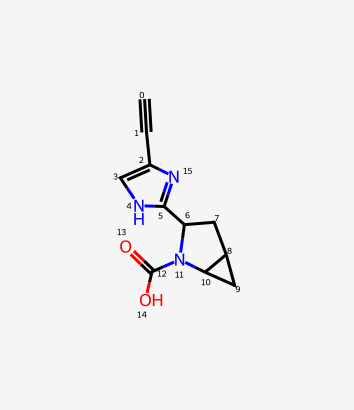 C#Cc1c[nH]c(C2CC3CC3N2C(=O)O)n1